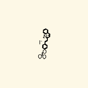 COC(COc1ccc(C=Cc2ccc3ccccc3[n+]2C)cc1)OC.[I-]